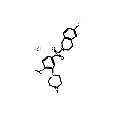 COc1ccc(S(=O)(=O)N2CCc3cc(Cl)ccc3C2)cc1N1CCN(C)CC1.Cl